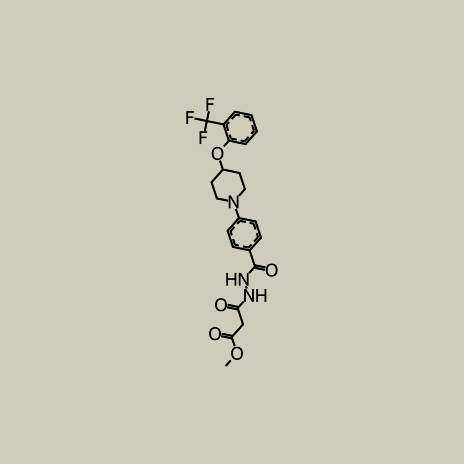 COC(=O)CC(=O)NNC(=O)c1ccc(N2CCC(Oc3ccccc3C(F)(F)F)CC2)cc1